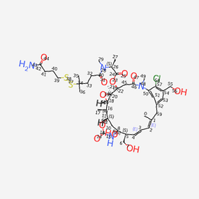 C/C1=C\C=C\[C@@H](CO)[C@@]2(O)C[C@H](OC(=O)N2)[C@@H](C)[C@@H]2O[C@@]2(C)[C@@H](OC(=O)[C@H](C)N(C)C(=O)CCC(C)(C)SSCCCC(N)=O)CC(=O)N(C)c2cc(cc(CO)c2Cl)C1